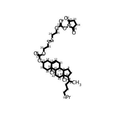 CC(C)CCCC(C)C1CCC2C3CC=C4CC(OC(=O)OCCSSCCOC(=O)ON5C(=O)CCC5=O)CCC4(C)C3CCC12C